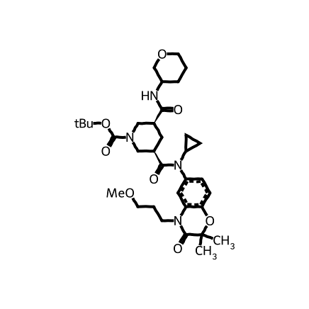 COCCCN1C(=O)C(C)(C)Oc2ccc(N(C(=O)[C@@H]3C[C@H](C(=O)NC4CCCOC4)CN(C(=O)OC(C)(C)C)C3)C3CC3)cc21